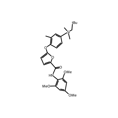 COc1cc(OC)c(NC(=O)c2ccc(Oc3ccc([Si](C)(C)CC(C)(C)C)cc3C)o2)c(OC)c1